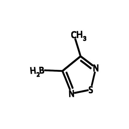 Bc1nsnc1C